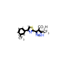 O=C(O)c1c(-c2nc(-c3cccc(C(F)(F)F)c3)cs2)n[nH]c1C(F)(F)F